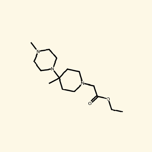 CCOC(=O)CN1CCC(C)(N2CCN(C)CC2)CC1